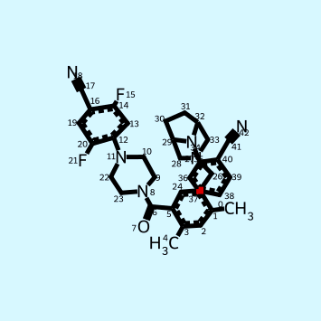 Cc1cc(C)c(C(=O)N2CCN(c3cc(F)c(C#N)cc3F)CC2)cc1CN1CC2CCC(C1)N2c1ccccc1C#N